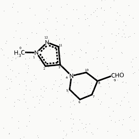 Cn1cc(N2CCCC(C=O)C2)cn1